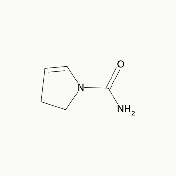 NC(=O)N1C=CCC1